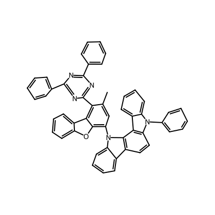 Cc1cc(-n2c3ccccc3c3ccc4c(c5ccccc5n4-c4ccccc4)c32)c2oc3ccccc3c2c1-c1nc(-c2ccccc2)nc(-c2ccccc2)n1